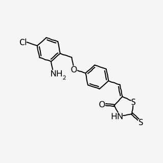 Nc1cc(Cl)ccc1COc1ccc(/C=C2/SC(=S)NC2=O)cc1